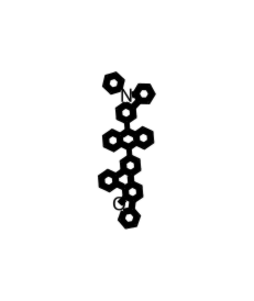 c1ccc(-n2c3ccccc3c3cc(-c4c5ccccc5c(-c5ccc6c(c5)c5ccccc5c5c6ccc6c7ccccc7oc65)c5ccccc45)ccc32)cc1